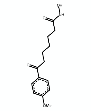 COc1ccc(C(=O)CCCCCC(=O)NO)cc1